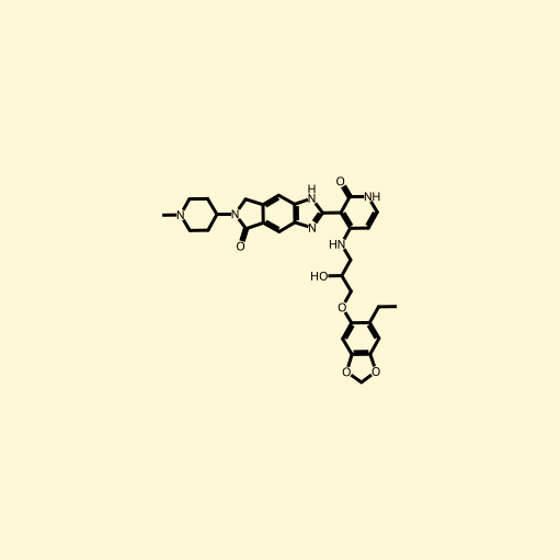 CCc1cc2c(cc1OCC(O)CNc1cc[nH]c(=O)c1-c1nc3cc4c(cc3[nH]1)CN(C1CCN(C)CC1)C4=O)OCO2